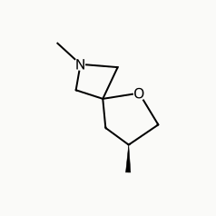 C[C@@H]1COC2(C1)CN(C)C2